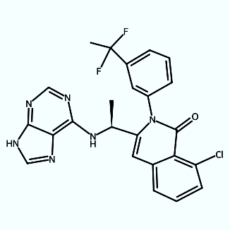 C[C@H](Nc1ncnc2[nH]cnc12)c1cc2cccc(Cl)c2c(=O)n1-c1cccc(C(C)(F)F)c1